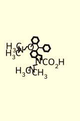 CN(C)CCOc1ccccc1C(c1ccccc1)c1cccc2c1cc(C(=O)O)n2CCN(C)C